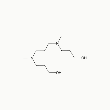 CN(CCCO)CCCN(C)CCCO